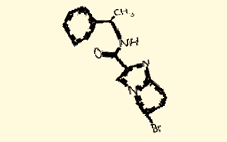 C[C@@H](NC(=O)c1cn2cc(Br)ccc2n1)c1ccccc1